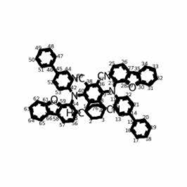 CC12CCC(C)(CC1)c1c(N(c3ccc(-c4ccccc4)cc3)c3cccc4c3oc3ccccc34)c(C#N)c(C#N)c(N(c3ccc(-c4ccccc4)cc3)c3cccc4c3oc3ccccc34)c12